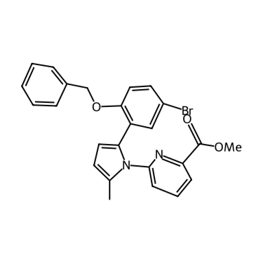 COC(=O)c1cccc(-n2c(C)ccc2-c2cc(Br)ccc2OCc2ccccc2)n1